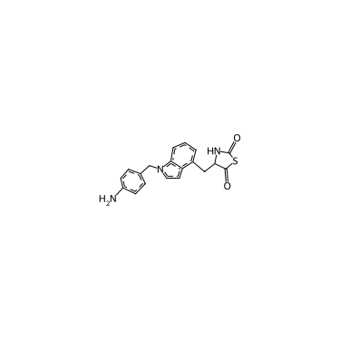 Nc1ccc(Cn2ccc3c(CC4NC(=O)SC4=O)cccc32)cc1